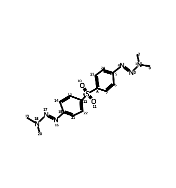 CN(C)N=Nc1ccc(S(=O)(=O)c2ccc(N=NN(C)C)cc2)cc1